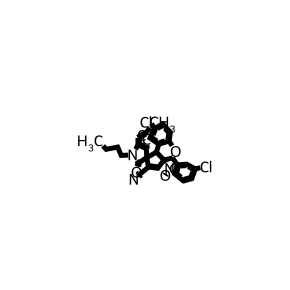 CCCCN1C(=O)C2(C(C#N)=CC3([N+](=O)[O-])C(c4cccc(Cl)c4)Oc4ccc(Cl)cc4C23)c2cc(C)ccc21